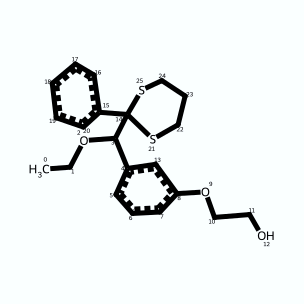 CCOC(c1cccc(OCCO)c1)C1(c2ccccc2)SCCCS1